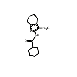 CCOC(=O)c1c(NC(=O)C2CCCCC2)sc2c1CCOC2